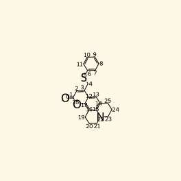 O=c1cc(CSc2ccccc2)c2cc3c4c(c2o1)CCCN4CCC3